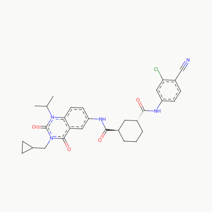 CC(C)n1c(=O)n(CC2CC2)c(=O)c2cc(NC(=O)[C@@H]3CCC[C@@H](C(=O)Nc4ccc(C#N)c(Cl)c4)C3)ccc21